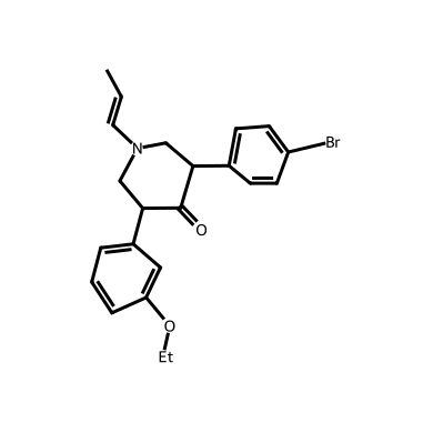 CC=CN1CC(c2ccc(Br)cc2)C(=O)C(c2cccc(OCC)c2)C1